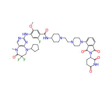 COc1cc(C(=O)NC2CCN(CCN3CCN(c4cccc5c4C(=O)N(C4CCC(=O)NC4=O)C5=O)CC3)CC2)c(F)cc1Nc1ncc2c(n1)N(C1CCCC1)CC(F)(F)C(=O)N2C